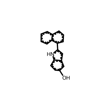 Oc1ccc2[nH]c(-c3cccc4ccccc34)cc2c1